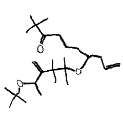 C=CCC(CCCC(=O)C(C)(C)C)OC(C)(C)C(C)(C)C(=C)C(C)OC(C)(C)C